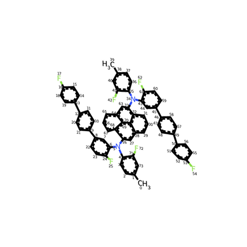 Cc1ccc(N(c2cc(-c3ccc(-c4ccc(F)cc4)cc3)ccc2F)c2cc3cccc4c(N(c5ccc(C)cc5F)c5cc(-c6ccc(-c7ccc(F)cc7)cc6)ccc5F)cc5cccc2c5c34)c(F)c1